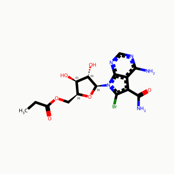 CCC(=O)OC[C@@H]1O[C@H](n2c(Br)c(C(N)=O)c3c(N)ncnc32)[C@@H](O)[C@@H]1O